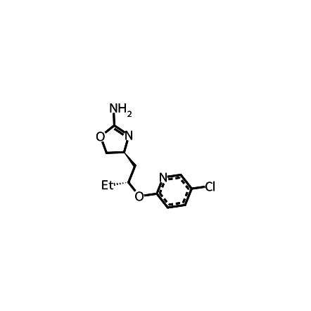 CC[C@H](C[C@H]1COC(N)=N1)Oc1ccc(Cl)cn1